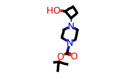 CC(C)(C)OC(=O)N1CCN([C@H]2CCC2O)CC1